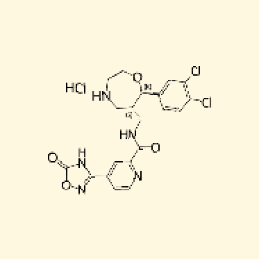 Cl.O=C(NC[C@@H]1CNCCO[C@H]1c1ccc(Cl)c(Cl)c1)c1cc(-c2noc(=O)[nH]2)ccn1